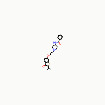 CC(C)=C1Sc2cc(OCCCN3CCC(NC(=O)c4ccccc4)CC3)ccc2C1=O